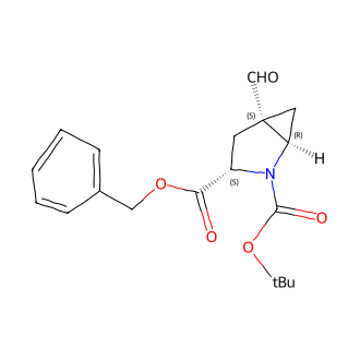 CC(C)(C)OC(=O)N1[C@H](C(=O)OCc2ccccc2)C[C@@]2(C=O)C[C@@H]12